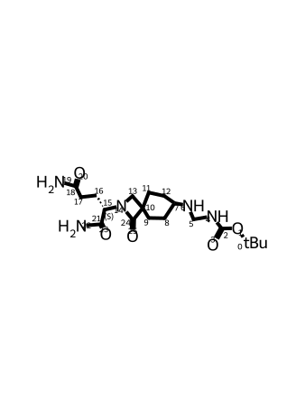 CC(C)(C)OC(=O)NCNC1CCC2(CC1)CN([C@@H](CCC(N)=O)C(N)=O)C2=O